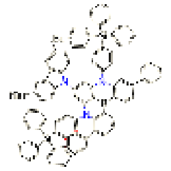 CC(C)(C)c1ccc2c(c1)c1cc(C(C)(C)C)ccc1n2-c1cc2c3c(c1)N(c1ccc([Si](c4ccccc4)(c4ccccc4)c4ccccc4)cc1)c1c(cccc1-c1ccccc1)B3c1ccc(-c3ccccc3)cc1N2c1ccc([Si](c2ccccc2)(c2ccccc2)c2ccccc2)cc1